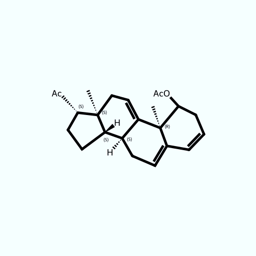 CC(=O)OC1CC=CC2=CC[C@@H]3C(=CC[C@]4(C)[C@@H](C(C)=O)CC[C@@H]34)[C@]21C